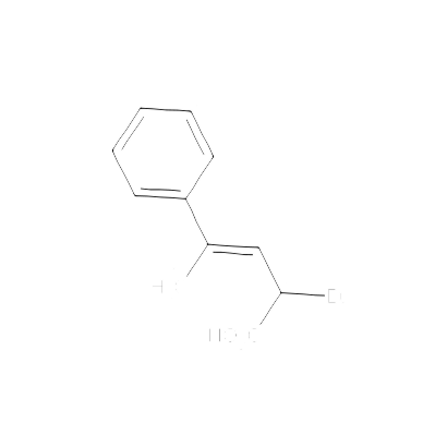 CCC(C=C(C)c1ccccc1)C(=O)O